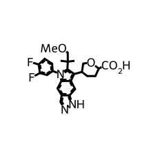 COCC(C)(C)c1c(C2CCC(C(=O)O)OC2)c2cc3[nH]ncc3cc2n1-c1ccc(F)c(F)c1